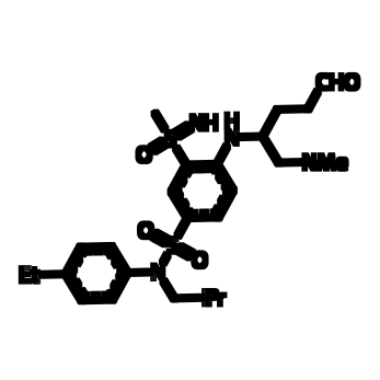 CCc1ccc(N(CC(C)C)S(=O)(=O)c2ccc(NC(CCC=O)CNC)c(S(C)(=N)=O)c2)cc1